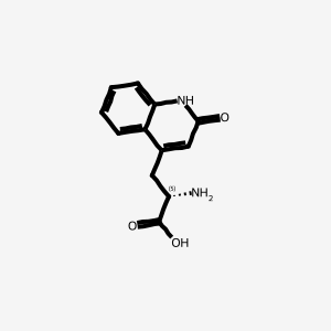 N[C@@H](Cc1cc(=O)[nH]c2ccccc12)C(=O)O